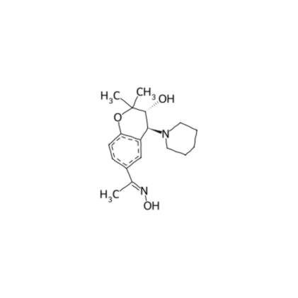 CC(=NO)c1ccc2c(c1)[C@H](N1CCCCC1)[C@@H](O)C(C)(C)O2